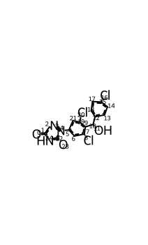 O=c1cnn(-c2cc(Cl)c(C(O)c3ccc(Cl)cc3)c(Cl)c2)c(=O)[nH]1